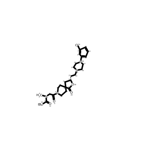 CN(CC(=O)N1CCC2(CC1)C[C@H](CCN1CCN(c3cccc(Cl)c3)CC1)OC2=O)C(=O)C(C)(C)C